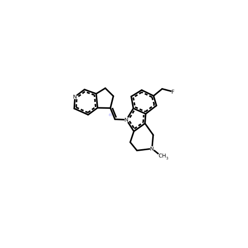 CN1CCc2c(c3cc(CF)ccc3n2/C=C2\CCc3cnccc32)C1